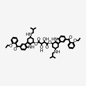 CCOc1ccccc1C(=O)c1ccc2[nH]c3c(c2c1)CC(NCC(C)C)CC3OC(=O)C(O)C(O)C(=O)OC1CC(NCC(C)C)Cc2c1[nH]c1ccc(C(=O)c3ccccc3OCC)cc21